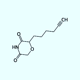 C#CCCCCC1OCC(=O)NC1=O